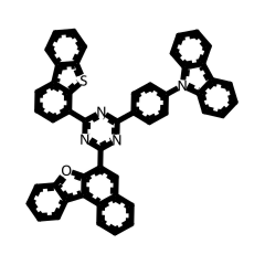 c1ccc2c(c1)cc(-c1nc(-c3ccc(-n4c5ccccc5c5ccccc54)cc3)nc(-c3cccc4c3sc3ccccc34)n1)c1oc3ccccc3c12